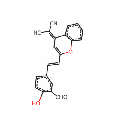 N#CC(C#N)=C1C=C(C=Cc2ccc(O)c(C=O)c2)Oc2ccccc21